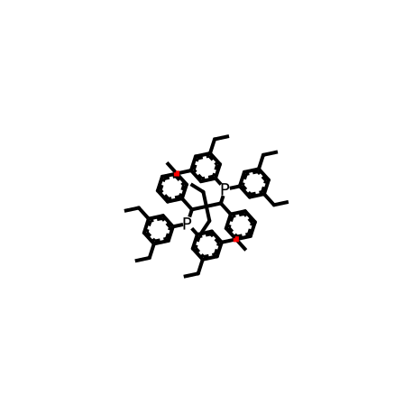 CCc1cc(CC)cc(P(c2cc(CC)cc(CC)c2)C(c2ccccc2)C(CC)(CC)C(c2ccccc2)P(c2cc(CC)cc(CC)c2)c2cc(CC)cc(CC)c2)c1